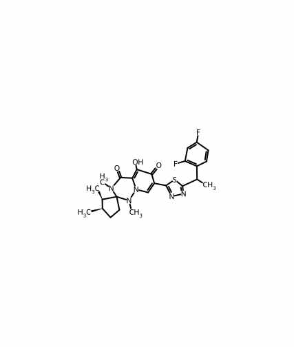 CC(c1nnc(-c2cn3c(c(O)c2=O)C(=O)N(C)C2(CC[C@@H](C)[C@H]2C)N3C)s1)c1ccc(F)cc1F